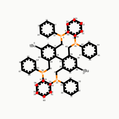 CC(C)(C)c1cc(CP(c2ccccc2)c2ccccc2)c(-c2c(CP(c3ccccc3)c3ccccc3)cc(C(C)(C)C)cc2CP(c2ccccc2)c2ccccc2)c(CP(c2ccccc2)c2ccccc2)c1